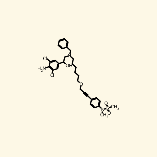 CN(c1ccc(C#CCOCCCCCCN(Cc2ccccc2)CC(O)c2cc(Cl)c(N)c(Cl)c2)cc1)S(C)(=O)=O